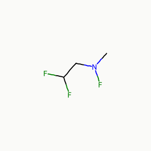 CN(F)CC(F)F